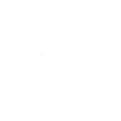 CC(C)C1CC2CNS(=O)(=O)N2C1